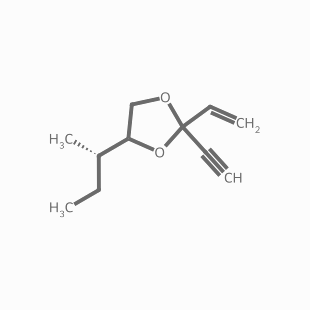 C#CC1(C=C)OCC([C@@H](C)CC)O1